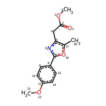 COC(=O)Cc1nc(-c2ccc(OC)cc2)oc1C